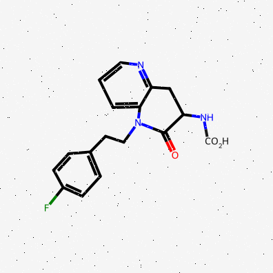 O=C(O)NC1Cc2ncccc2N(CCc2ccc(F)cc2)C1=O